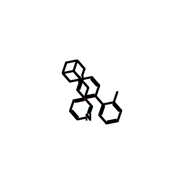 Cc1ccccc1-c1ccc(C2C3CC2CN(Cc2cccnc2)C3)cc1